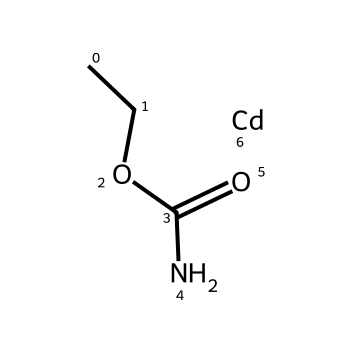 CCOC(N)=O.[Cd]